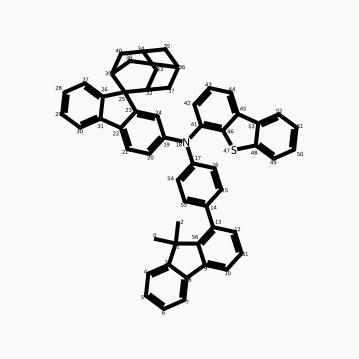 CC1(C)c2ccccc2-c2cccc(-c3ccc(N(c4ccc5c(c4)C4(c6ccccc6-5)C5CC6CC(C5)CC4C6)c4cccc5c4sc4ccccc45)cc3)c21